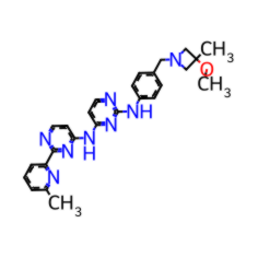 COC1(C)CN(Cc2ccc(Nc3nccc(Nc4ccnc(-c5cccc(C)n5)n4)n3)cc2)C1